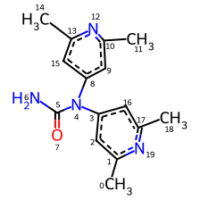 Cc1cc(N(C(N)=O)c2cc(C)nc(C)c2)cc(C)n1